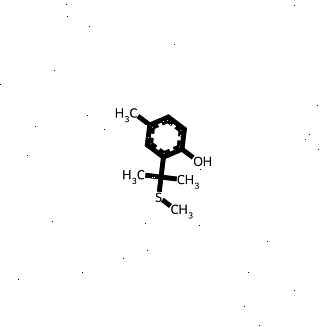 CSC(C)(C)c1cc(C)ccc1O